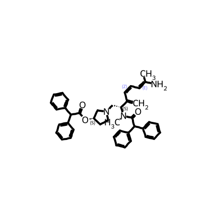 C=C(/C=C\C=C(/C)N)[C@@H](CN1CC[C@H](OC(=O)C(c2ccccc2)c2ccccc2)C1)N(C)C(=O)C(c1ccccc1)c1ccccc1